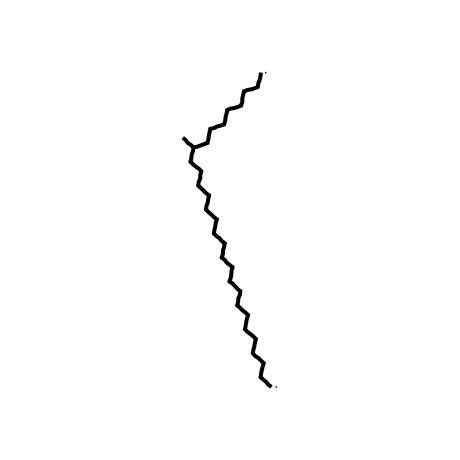 [CH2]CCCCCCCCCCCCCCCCCCCC(C)CCCCCCC[CH2]